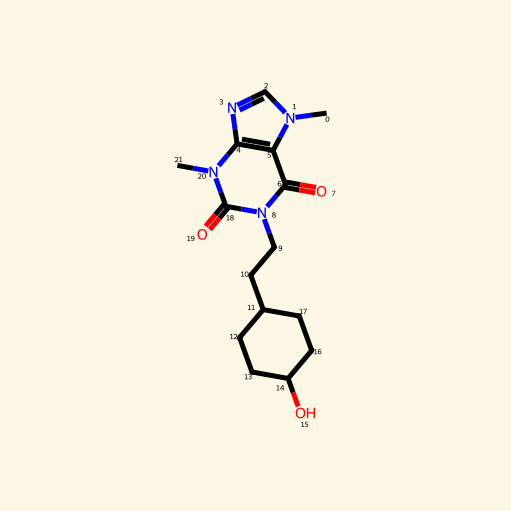 Cn1cnc2c1c(=O)n(CCC1CCC(O)CC1)c(=O)n2C